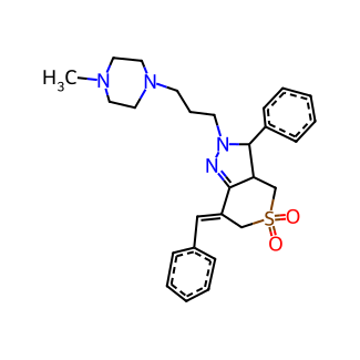 CN1CCN(CCCN2N=C3C(=Cc4ccccc4)CS(=O)(=O)CC3C2c2ccccc2)CC1